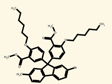 CCCCCCOc1ccc(C2(c3ccc(OCCCCCC)c(C(=O)OC)c3)c3cc(C)ccc3-c3ccc(Br)cc32)cc1C(=O)OC